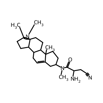 CC1C2CCC3C4CC=C5CC(N(C)C(=O)C(N)CC#N)CCC5(C)C4CCC32CN1C